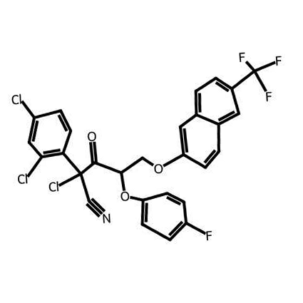 N#CC(Cl)(C(=O)C(COc1ccc2cc(C(F)(F)F)ccc2c1)Oc1ccc(F)cc1)c1ccc(Cl)cc1Cl